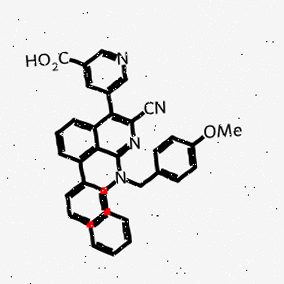 COc1ccc(CN(Cc2ccccc2)c2nc(C#N)c(-c3cncc(C(=O)O)c3)c3cccc(-c4ccccc4)c23)cc1